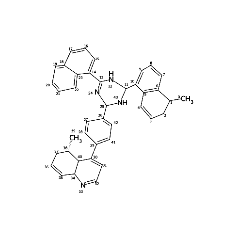 CC1CC=Cc2c1cccc2C1NC(c2cccc3ccccc23)=NC(c2ccc(C3=CC=NC4C=CC[C@H](C)C34)cc2)N1